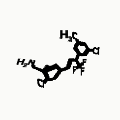 Cc1cc(Cl)cc(C(/C=C/c2ccc(CN)c(Cl)c2)C(F)(F)F)c1